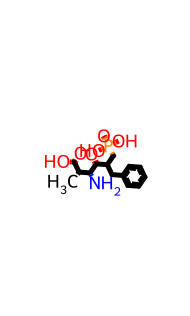 CC(C(=O)O)C(N)C(=O)C(Cc1ccccc1)CP(=O)(O)O